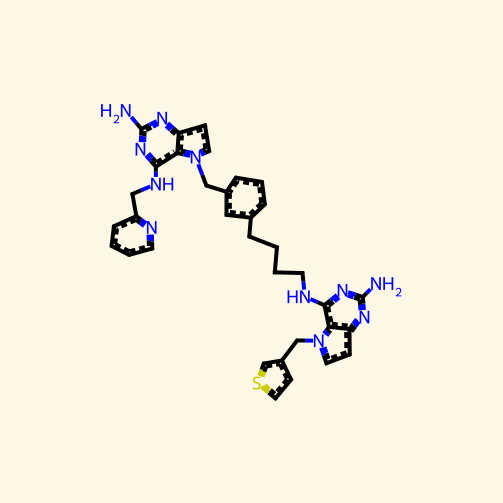 Nc1nc(NCCCCc2cccc(Cn3ccc4nc(N)nc(NCc5ccccn5)c43)c2)c2c(ccn2Cc2ccsc2)n1